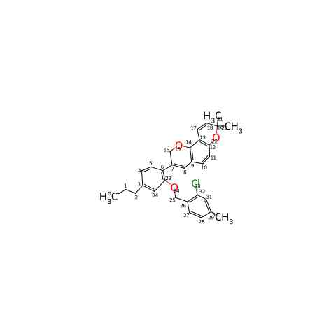 CCCc1ccc(C2=Cc3ccc4c(c3OC2)C=CC(C)(C)O4)c(OCc2ccc(C)cc2Cl)c1